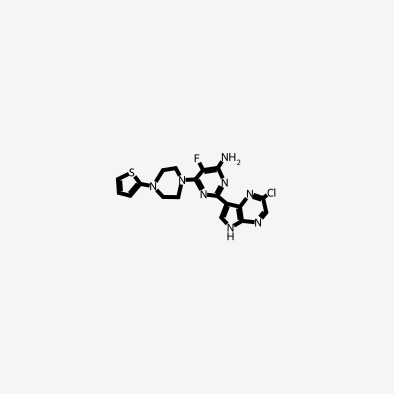 Nc1nc(-c2c[nH]c3ncc(Cl)nc23)nc(N2CCN(c3cccs3)CC2)c1F